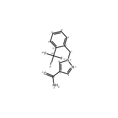 NC(=O)c1cnn(Cc2ccccc2C(F)(F)F)c1